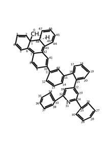 CC12C=CC=CC1=c1ccc(-c3cccc(-c4ccccc4-c4cc(-c5ccccc5)nc(-c5ccccc5)c4)c3)cc1=C1C=CC=C[C@@H]12